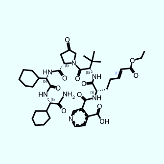 CCOC(=O)/C=C/CC[C@H](NC(=O)c1cnccc1C(=O)O)C(=O)N[C@H](C(=O)N1CC(=O)C[C@H]1C(=O)N[C@H](C(=O)N[C@H](C(N)=O)C1CCCCC1)C1CCCCC1)C(C)(C)C